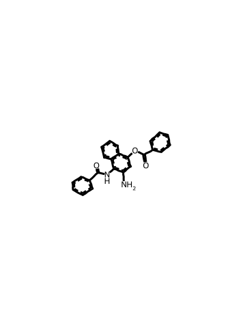 Nc1cc(OC(=O)c2ccccc2)c2ccccc2c1NC(=O)c1ccccc1